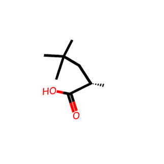 C[C@@H](CC(C)(C)C)C(=O)O